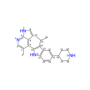 Cc1cnc2[nH]ccc2c1-c1[nH]c2ccc(C3CCNCC3)cc2c1C(C)C